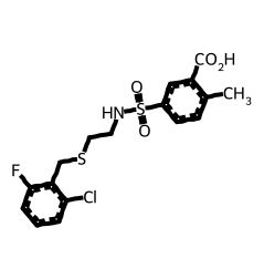 Cc1ccc(S(=O)(=O)NCCSCc2c(F)cccc2Cl)cc1C(=O)O